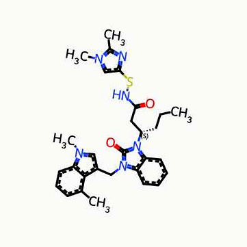 CCC[C@@H](CC(=O)NSc1cn(C)c(C)n1)n1c(=O)n(Cc2cn(C)c3cccc(C)c23)c2ccccc21